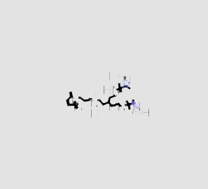 C=C1C=CC(=O)N1CCC(=O)NCCC(CCNC(C)(C)/C(C)=N\O)CCNC(C)(C)/C(C)=N\O